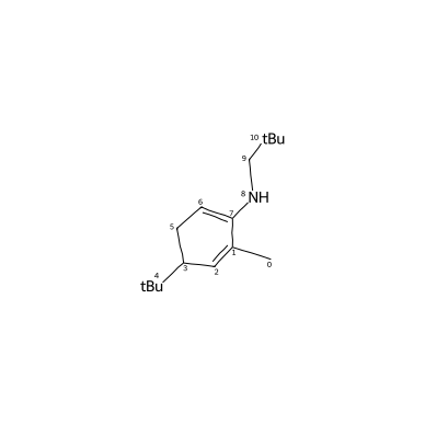 CC1=CC(C(C)(C)C)CC=C1NCC(C)(C)C